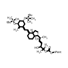 C=C1/C(=C/C=C2\CCC[C@]3(C)[C@@H]([C@H](C)/C=C/C(O)C(C)(C)OC(=O)OCCCCC)CC[C@@H]23)C[C@@H](O[Si](C)(C)C(C)(C)C)C[C@@H]1O[Si](C)(C)C(C)(C)C